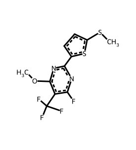 COc1nc(-c2ccc(SC)s2)nc(F)c1C(F)(F)F